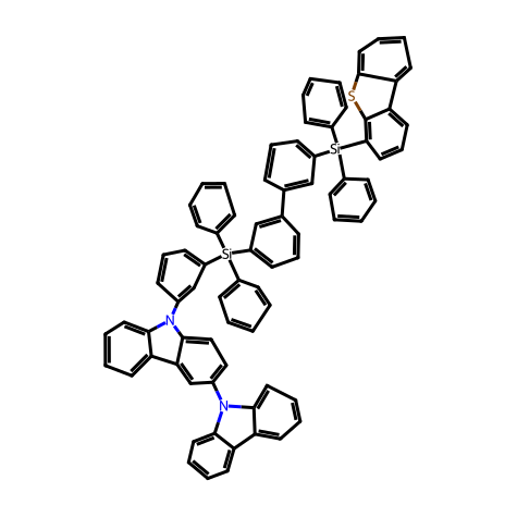 c1ccc([Si](c2ccccc2)(c2cccc(-c3cccc([Si](c4ccccc4)(c4ccccc4)c4cccc5c4sc4ccccc45)c3)c2)c2cccc(-n3c4ccccc4c4cc(-n5c6ccccc6c6ccccc65)ccc43)c2)cc1